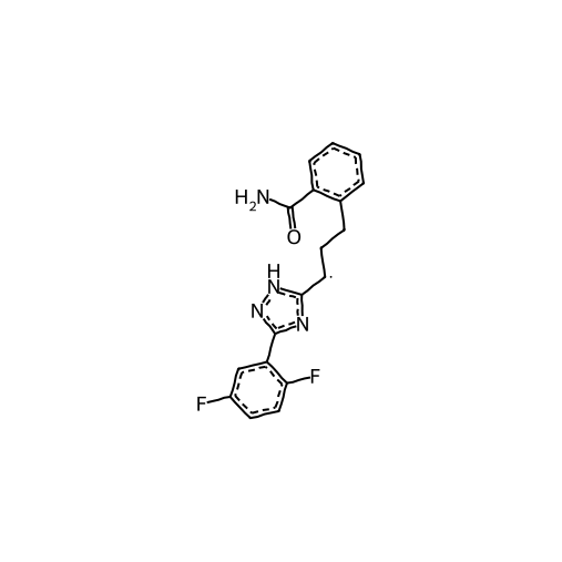 NC(=O)c1ccccc1CC[CH]c1nc(-c2cc(F)ccc2F)n[nH]1